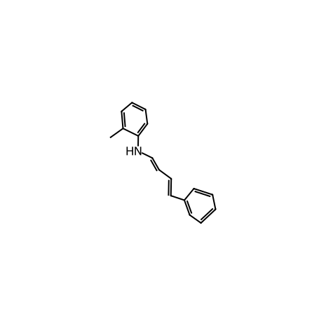 Cc1ccccc1N/C=C/C=C/c1ccccc1